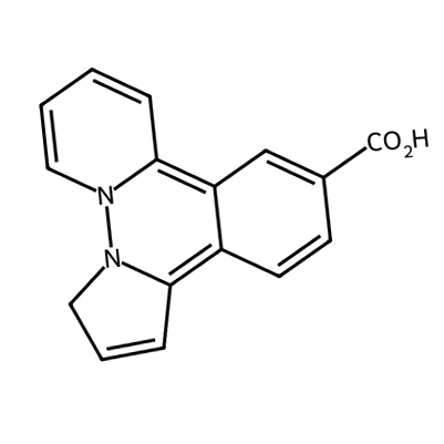 O=C(O)c1ccc2c(c1)=C1C=CC=CN1N1CC=CC=21